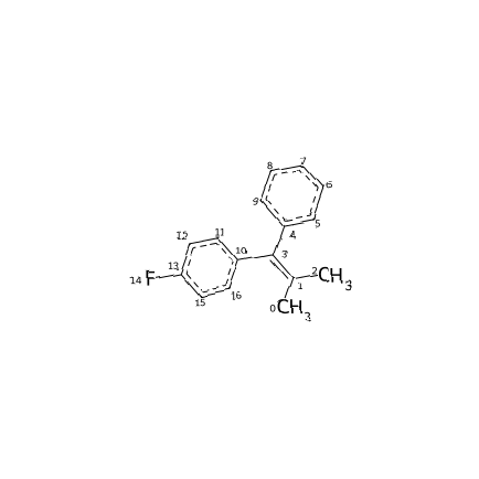 CC(C)=C(c1ccccc1)c1ccc(F)cc1